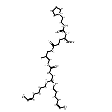 [CH2]C(COC(=O)CCC(CCCCCC)OC(=O)NCCN1CCCC1)COC(=O)CCC(OCCCC/C=C\CC)OCCCC/C=C\CC